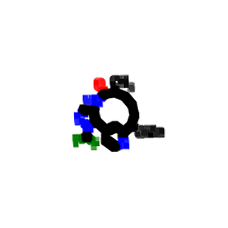 COC1CCCC(C)C(=O)Nc2cnn(C(F)F)c2-c2ccnc1c2